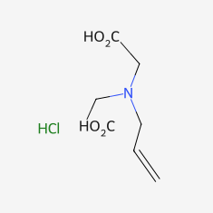 C=CCN(CC(=O)O)CC(=O)O.Cl